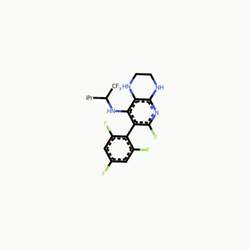 CC(C)C(Nc1c2c(nc(F)c1-c1c(F)cc(F)cc1F)NCCN2)C(F)(F)F